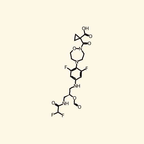 O=CO[C@@H](CNC(=O)C(F)F)CNc1cc(F)c(N2CCON(C(=O)C3(C(=O)O)CC3)CC2)c(F)c1